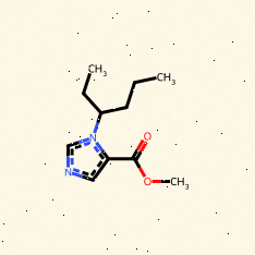 CCCC(CC)n1cncc1C(=O)OC